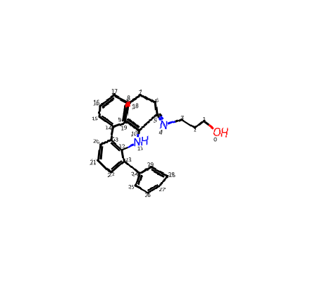 OCCC/N=C1\CCCC=C1Nc1c(-c2ccccc2)cccc1-c1ccccc1